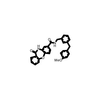 COc1ccc(Cc2cccc(CNC(=O)c3ccc4c(c3)NC(=O)c3ccccc3O4)c2)cc1